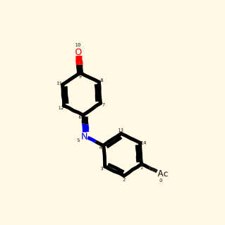 CC(=O)c1ccc(N=C2C=CC(=O)C=C2)cc1